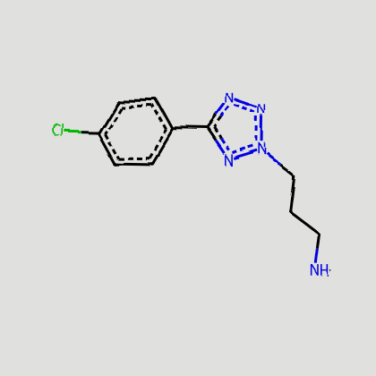 [NH]CCCn1nnc(-c2ccc(Cl)cc2)n1